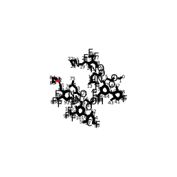 CCOC(=O)C[C@H](NC(=O)C(CC(C)C)n1cc(CCN2CCC2)c(C(F)(F)F)cc1=O)c1cc(-c2c(C)cc(F)cc2C)cc(C(F)(F)F)c1F.Cc1cc(F)cc(C)c1-c1cc([C@H](CC(=O)O)NC(=O)C(CC(C)C)n2cc(CCN3CCC3)c(C(F)(F)F)cc2=O)c(F)c(C(F)(F)F)c1